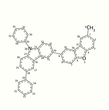 Cc1ccc2oc3ccc(-c4ccc5c(c4)c4cc(-c6ccccc6)ccc4n5-c4ccccc4)cc3c2c1